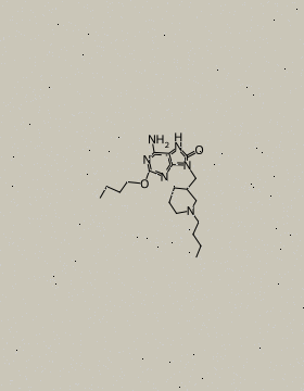 CCCCOc1nc(N)c2[nH]c(=O)n(CC3CCCN(CCCC)C3)c2n1